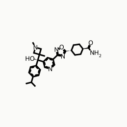 CC(C)c1ccc([C@](O)(c2cncc(-c3noc([C@H]4CC[C@H](C(N)=O)CC4)n3)c2)C2(C)CN(C)C2)cc1